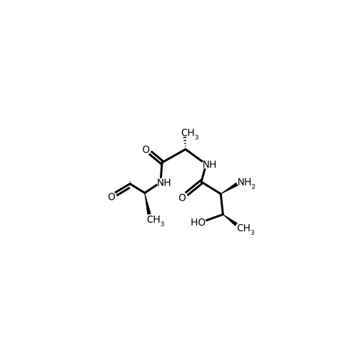 C[C@H](NC(=O)[C@@H](N)[C@@H](C)O)C(=O)N[C@@H](C)[C]=O